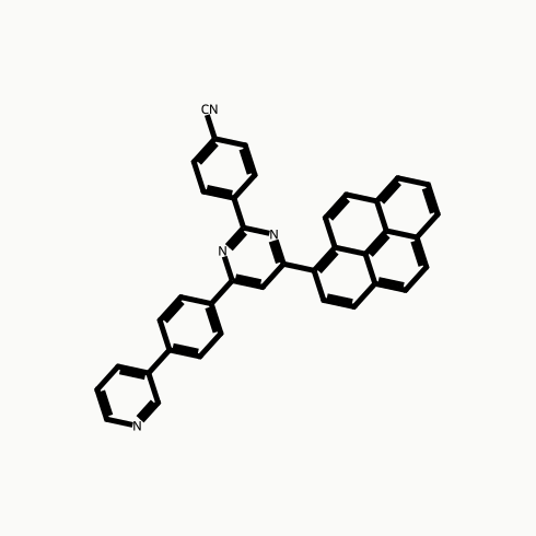 N#Cc1ccc(-c2nc(-c3ccc(-c4cccnc4)cc3)cc(-c3ccc4ccc5cccc6ccc3c4c56)n2)cc1